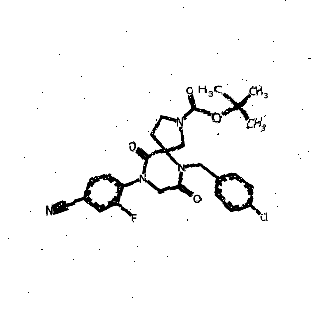 CC(C)(C)OC(=O)N1CCC2(C1)C(=O)N(c1ccc(C#N)cc1F)CC(=O)N2Cc1ccc(Cl)cc1